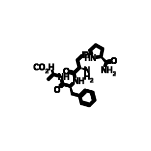 CC(C)C[C@H](N)C(=O)N[C@@H](Cc1ccccc1)C(=O)N[C@@H](C)C(=O)O.NC(=O)[C@@H]1CCCN1